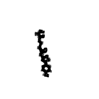 CCN1CCN([n+]2cc([N-]C(=O)CCSC(=O)NC(C)(C)C)on2)CC1